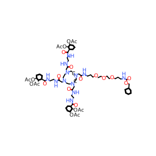 CC(=O)Oc1cccc(C(=O)NCCNC(=O)CN2CCN(CC(=O)NCCCOCCOCCOCCCNC(=O)OCc3ccccc3)CCN(CC(=O)NCCNC(=O)c3cccc(OC(C)=O)c3OC(C)=O)CCN(CC(=O)NCCNC(=O)c3cccc(OC(C)=O)c3OC(C)=O)CC2)c1OC(C)=O